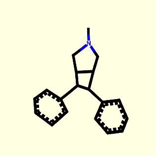 CN1CC2C(C1)C(c1ccccc1)C2c1ccccc1